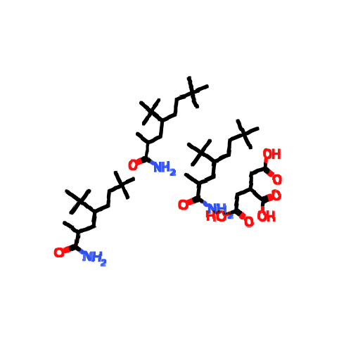 CC(CC(CCC(C)(C)C)C(C)(C)C)C(N)=O.CC(CC(CCC(C)(C)C)C(C)(C)C)C(N)=O.CC(CC(CCC(C)(C)C)C(C)(C)C)C(N)=O.O=C(O)CC(CC(=O)O)C(=O)O